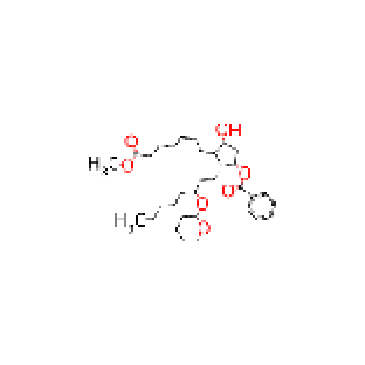 CCCCC[C@@H](/C=C/[C@@H]1[C@@H](C/C=C\CCCC(=O)OC)[C@@H](O)C[C@H]1OC(=O)c1ccccc1)OC1CCCCO1